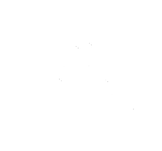 CCc1onc2c1CCn1nc3c(c1-2)CN(C(=O)OC(C)(C)C)CC3